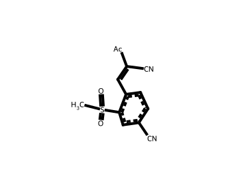 CC(=O)C(C#N)=Cc1ccc(C#N)cc1S(C)(=O)=O